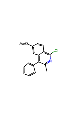 COc1ccc2c(Cl)nc(C)c(-c3ccccc3)c2c1